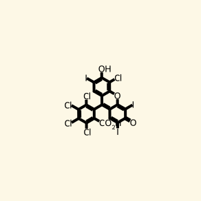 O=C(O)c1c(Cl)c(Cl)c(Cl)c(Cl)c1-c1c2cc(I)c(=O)c(I)c-2oc2c(Cl)c(O)c(I)cc12